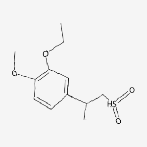 [CH2]C(C[SH](=O)=O)c1ccc(OC)c(OCC)c1